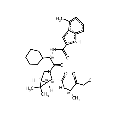 Cc1cccc2[nH]c(C(=O)N[C@H](C(=O)N3C[C@H]4[C@@H]([C@H]3C(=O)N[C@@H](C)C(=O)CCl)C4(C)C)C3CCCCC3)cc12